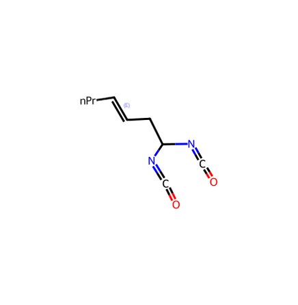 CCC/C=C/CC(N=C=O)N=C=O